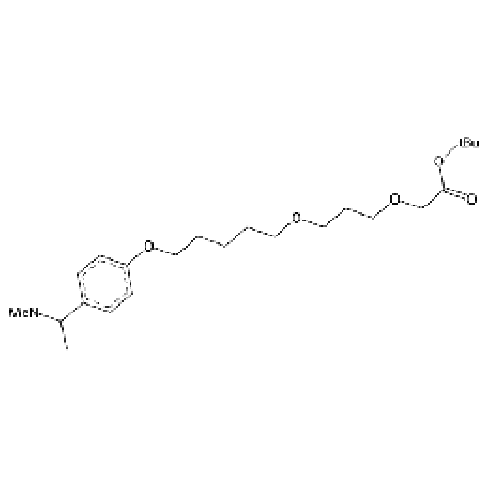 CNC(C)c1ccc(OCCCCCOCCCOCC(=O)OC(C)(C)C)cc1